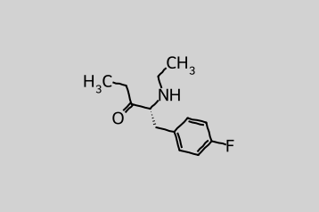 CCN[C@H](Cc1ccc(F)cc1)C(=O)CC